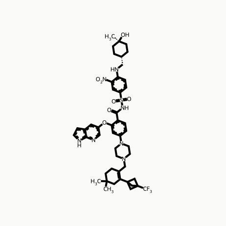 CC1(C)CCC(CN2CCN(c3ccc(C(=O)NS(=O)(=O)c4ccc(NC[C@H]5CC[C@](C)(O)CC5)c([N+](=O)[O-])c4)c(Oc4cnc5[nH]ccc5c4)c3)CC2)=C(C23CC(C(F)(F)F)(C2)C3)C1